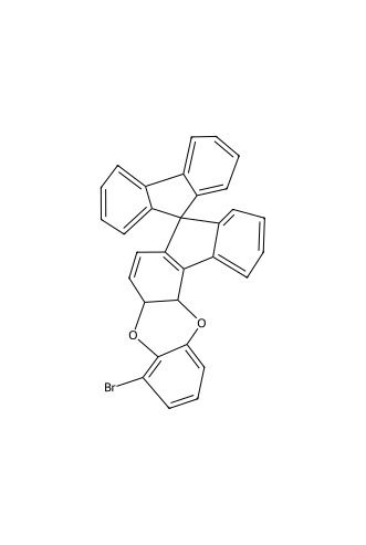 Brc1cccc2c1OC1C=CC3=C(c4ccccc4C34c3ccccc3-c3ccccc34)C1O2